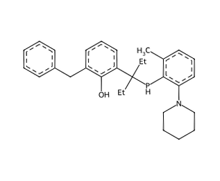 CCC(CC)(Pc1c(C)cccc1N1CCCCC1)c1cccc(Cc2ccccc2)c1O